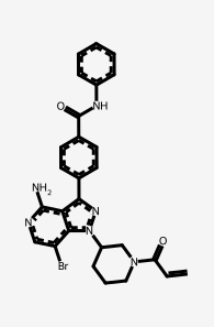 C=CC(=O)N1CCCC(n2nc(-c3ccc(C(=O)Nc4ccccc4)cc3)c3c(N)ncc(Br)c32)C1